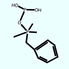 CP(C)(C)(Cc1ccccc1)OP(O)O